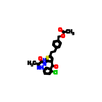 CC(=O)OCc1ccc(CCc2cc(C(=O)c3ccccc3Cl)c(NC(=O)[C@H](C)N)s2)cc1